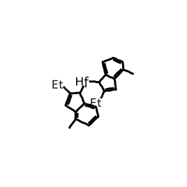 CCC1=Cc2c(C)cccc2[CH]1[Hf][CH]1C(CC)=Cc2c(C)cccc21